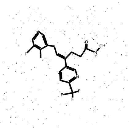 Cc1c(F)cccc1C/C=C(\CCC(=O)NO)c1ccc(C(F)(F)F)nc1